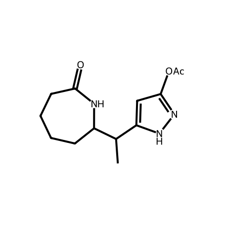 CC(=O)Oc1cc(C(C)C2CCCCC(=O)N2)[nH]n1